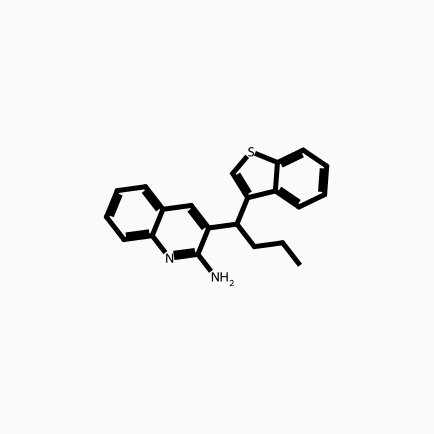 CCCC(c1cc2ccccc2nc1N)c1csc2ccccc12